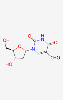 O=Cc1cn(C2C[C@H](O)[C@@H](CO)O2)c(=O)[nH]c1=O